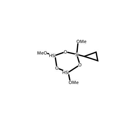 CO[SiH]1O[SiH](OC)O[Si](OC)(C2CC2)O1